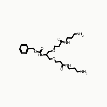 NCCCNC(=O)CCOCC(COCCC(=O)NCCCN)NC(=O)OCc1ccccc1